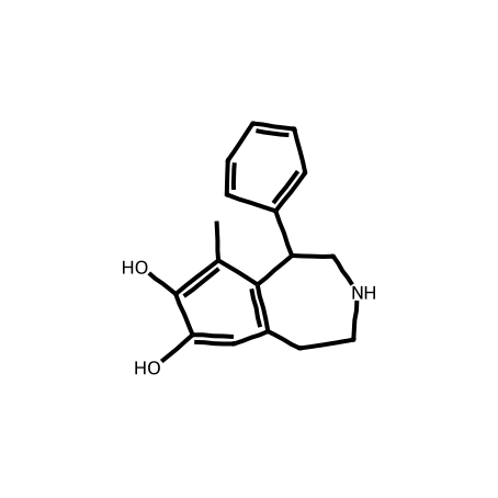 Cc1c(O)c(O)cc2c1C(c1ccccc1)CNCC2